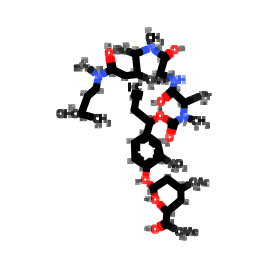 C#CCC(OC(=O)N(C)C(C(=O)NCC(=O)N(C)C(C(C)CC)C(CC(=O)N(CCC)CCC(C)C=O)OC)C(C)C)c1ccc(OC2CC(OC(C)=O)CC(C(=O)OC)O2)c([N+](=O)[O-])c1